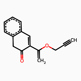 C#CCOC(=C)C1=Cc2ccccc2CC1=O